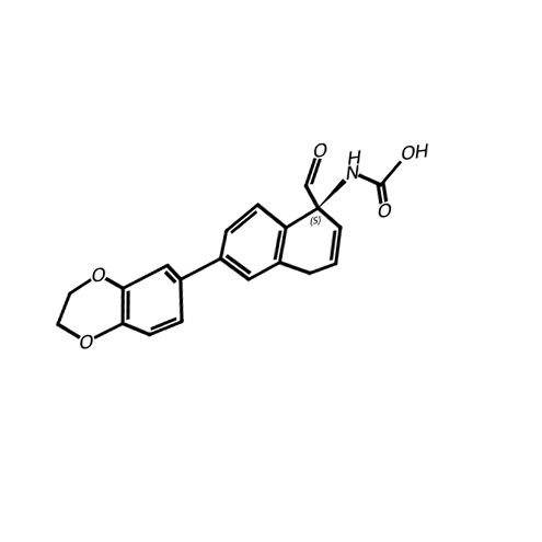 O=C[C@]1(NC(=O)O)C=CCc2cc(-c3ccc4c(c3)OCCO4)ccc21